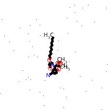 CCCCCCCCCCCCOC1=CC(=O)N([C@@H]2c3cc(C#N)ccc3OC(C)(C)[C@H]2OC(C)=O)C1